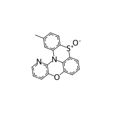 Cc1ccc2c(c1)N1c3ncccc3Oc3cccc(c31)[S+]2[O-]